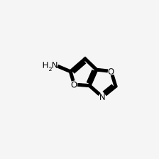 Nc1cc2ocnc2o1